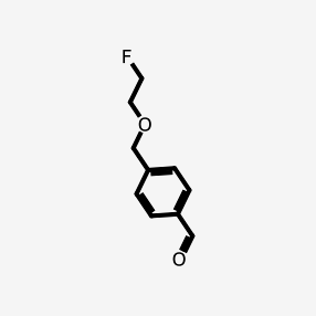 O=Cc1ccc(COCCF)cc1